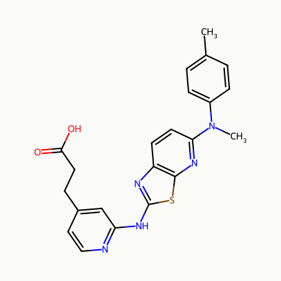 Cc1ccc(N(C)c2ccc3nc(Nc4cc(CCC(=O)O)ccn4)sc3n2)cc1